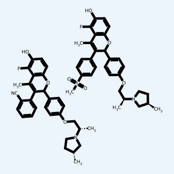 CC1=C(c2ccc(S(C)(=O)=O)cc2)C(c2ccc(OC[C@H](C)N3CC[C@@H](C)C3)cc2)Oc2ccc(O)c(F)c21.CC1=C(c2ccccc2C#N)C(c2ccc(OC[C@H](C)N3CC[C@@H](C)C3)cc2)Oc2ccc(O)c(F)c21